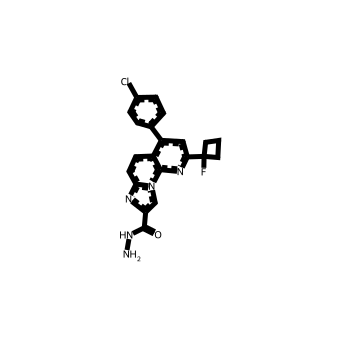 NNC(=O)c1cn2c(ccc3c(-c4ccc(Cl)cc4)cc(C4(F)CCC4)nc32)n1